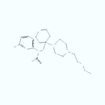 CCC(=O)N(CC1(N2CCN(CCOCC(F)(F)F)CC2)CCOCC1)c1cccc(C(F)(F)F)n1